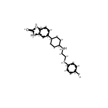 O=c1[nH]c2cc(C3CCC(NCCSc4ccc(F)cc4)CC3)ccc2o1